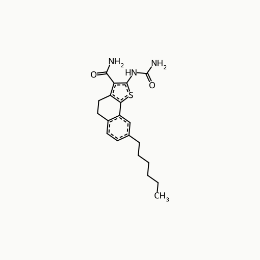 CCCCCCc1ccc2c(c1)-c1sc(NC(N)=O)c(C(N)=O)c1CC2